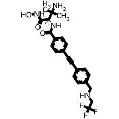 CC(C)(N)[C@H](NC(=O)c1ccc(C#Cc2ccc(CNCC(F)(F)F)cc2)cc1)C(=O)NO